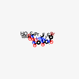 C=C[C@H](C)Nc1nc2c(c(=O)n1-c1ccc(C(=O)N(C)C(=O)OCN(C(=O)OC(C)(C)C)[C@@H](C(=O)O)C(C)C)cc1)C[C@@H](C)N(C(=O)c1ccc(Br)c(C(F)(F)F)c1)C2